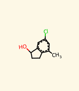 Cc1cc(Cl)cc2c1CCC2O